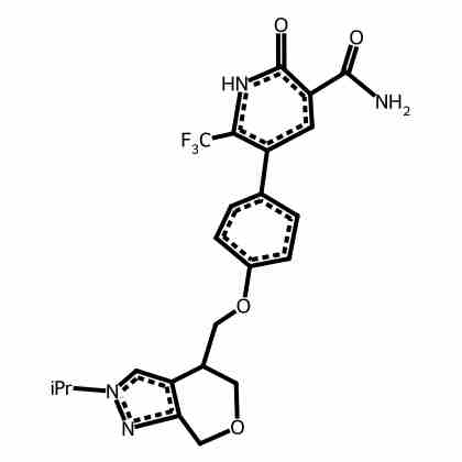 CC(C)n1cc2c(n1)COCC2COc1ccc(-c2cc(C(N)=O)c(=O)[nH]c2C(F)(F)F)cc1